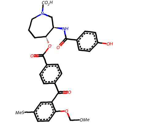 COCOc1ccc(SC)cc1C(=O)c1ccc(C(=O)O[C@@H]2CCCN(C(=O)O)C[C@H]2NC(=O)c2ccc(O)cc2)cc1